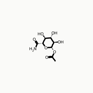 CC(=O)O[C@@H]1O[C@H](C(N)=O)[C@@H](O)[C@H](O)[C@H]1O